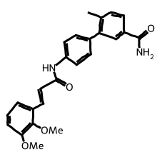 COc1cccc(/C=C/C(=O)Nc2ccc(-c3cc(C(N)=O)ccc3C)cc2)c1OC